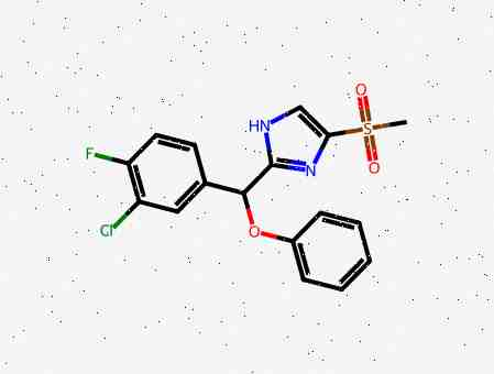 CS(=O)(=O)c1c[nH]c(C(Oc2ccccc2)c2ccc(F)c(Cl)c2)n1